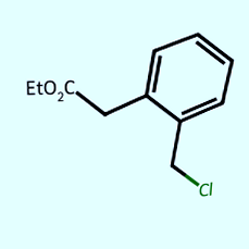 CCOC(=O)Cc1ccccc1CCl